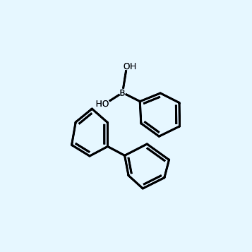 OB(O)c1ccccc1.c1ccc(-c2ccccc2)cc1